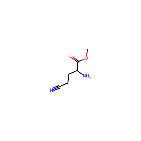 COC(=O)C(N)CCC#N